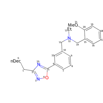 CCCCCCCCCCCc1noc(-c2cccc(CN(CC)Cc3ccccc3OC)c2)n1